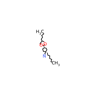 CCCCCCC[C@]1(C#N)CC[C@@H](C2OCC(CCCCC)CO2)CC1